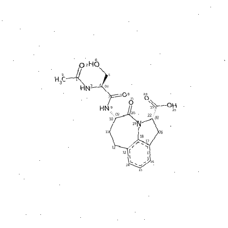 CC(=O)N[C@@H](CO)C(=O)N[C@H]1CCc2cccc3c2N(C1=O)[C@H](C(=O)O)C3